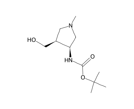 CN1C[C@H](CO)[C@H](NC(=O)OC(C)(C)C)C1